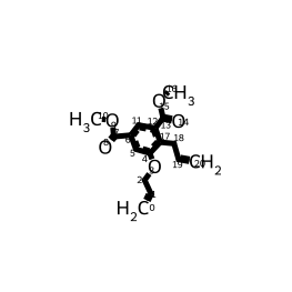 C=CCOc1cc(C(=O)OC)cc(C(=O)OC)c1CC=C